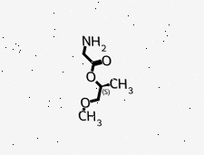 COC[C@H](C)OC(=O)CN